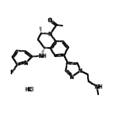 CNCCn1cc(-c2ccc3c(c2)[C@H](Nc2cccc(F)n2)C[C@H](C)N3C(C)=O)cn1.Cl